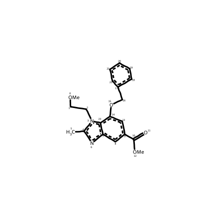 COCCn1c(C)nc2cc(C(=O)OC)cc(OCc3ccccc3)c21